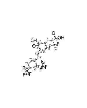 COc1cc(/C=C(/C(=O)O)C(F)(F)F)ccc1OCc1ccc(C(F)(F)F)cc1C(F)(F)F